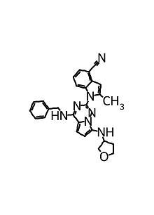 Cc1cc2c(C#N)cccc2n1-c1nc(NCc2ccccc2)c2ccc(NC3CCOC3)n2n1